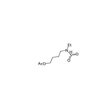 CCN(CCCCOC(C)=O)[SH](=O)=O